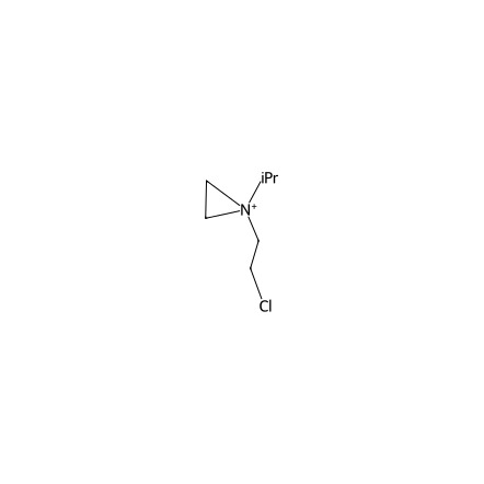 CC(C)[N+]1(CCCl)CC1